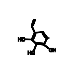 C=Cc1c[c]c(O)c(O)c1O